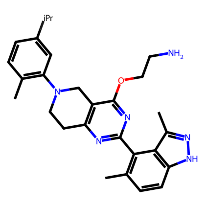 Cc1ccc(C(C)C)cc1N1CCc2nc(-c3c(C)ccc4[nH]nc(C)c34)nc(OCCN)c2C1